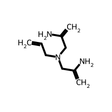 C=CCN(CC(=C)N)CC(=C)N